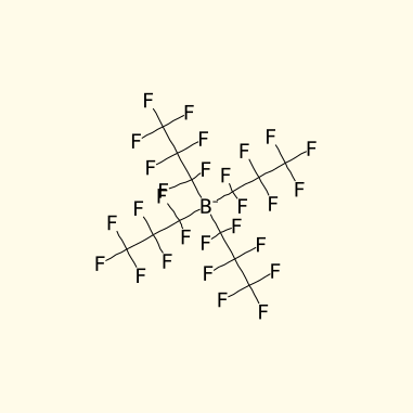 FC(F)(F)C(F)(F)C(F)(F)[B-](C(F)(F)C(F)(F)C(F)(F)F)(C(F)(F)C(F)(F)C(F)(F)F)C(F)(F)C(F)(F)C(F)(F)F